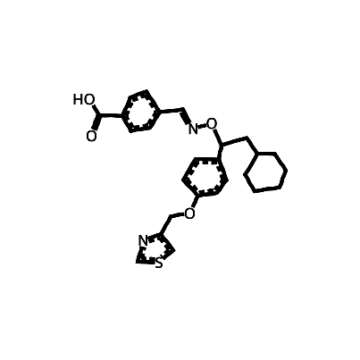 O=C(O)c1ccc(C=NOC(CC2CCCCC2)c2ccc(OCc3cscn3)cc2)cc1